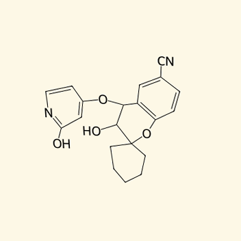 N#Cc1ccc2c(c1)C(Oc1ccnc(O)c1)C(O)C1(CCCCC1)O2